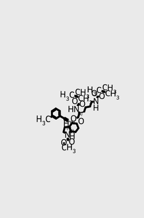 COC(=O)N1CC[C@@H]2[C@H]1CCC[C@]2(C#Cc1cccc(C)c1)OC(=O)[C@H](CCCCNC(=O)OC(C)(C)C)NC(=O)OC(C)(C)C